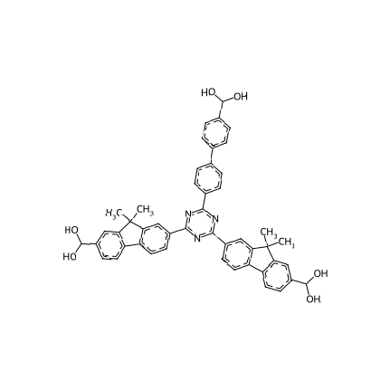 CC1(C)c2cc(-c3nc(-c4ccc(-c5ccc(C(O)O)cc5)cc4)nc(-c4ccc5c(c4)C(C)(C)c4cc(C(O)O)ccc4-5)n3)ccc2-c2ccc(C(O)O)cc21